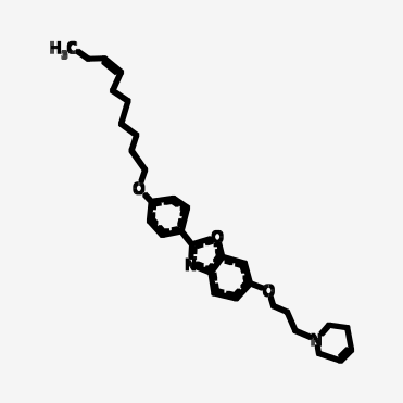 CC/C=C\CCCCCCOc1ccc(-c2nc3ccc(OCCCN4CC=CCC4)cc3o2)cc1